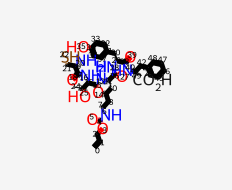 C=CCOC(=O)NCCCC[C@H](NC(=O)[C@@H](NC(=O)[C@@H](N)CS)[C@@H](C)O)C(=O)N[C@@H](Cc1ccc(O)cc1)C(=O)N[C@@H](Cc1ccccc1)C(=O)O